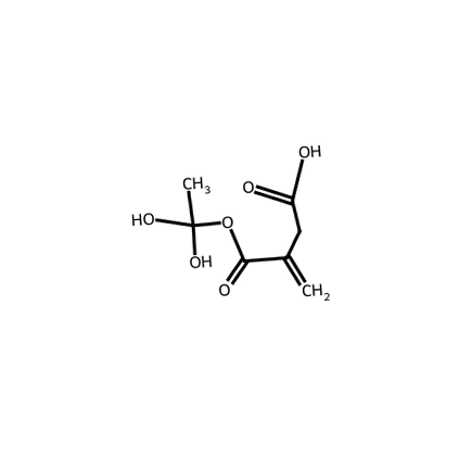 C=C(CC(=O)O)C(=O)OC(C)(O)O